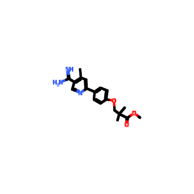 COC(=O)C(C)(C)COc1ccc(-c2cc(C)c(C(=N)N)cn2)cc1